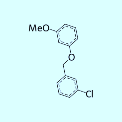 COc1cccc(OCc2cccc(Cl)c2)c1